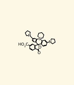 O=C(O)c1ccc2c(c1)C1(OC2=O)c2ccc(N3CCCC3)cc2[Si]2(CCCCC2)c2cc(N3CCCC3)ccc21